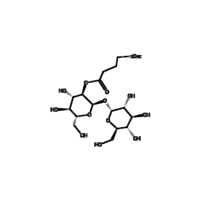 CCCCCCCCCCCCCC(=O)O[C@H]1[C@@H](O[C@H]2O[C@H](CO)[C@@H](O)[C@H](O)[C@H]2O)O[C@H](CO)[C@@H](O)[C@@H]1O